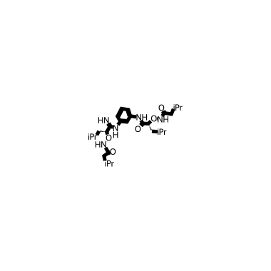 CC(C)CC(=O)NO[C@H](CC(C)C)C(=N)Nc1cccc(NC(=O)[C@@H](CC(C)C)ONC(=O)CC(C)C)c1